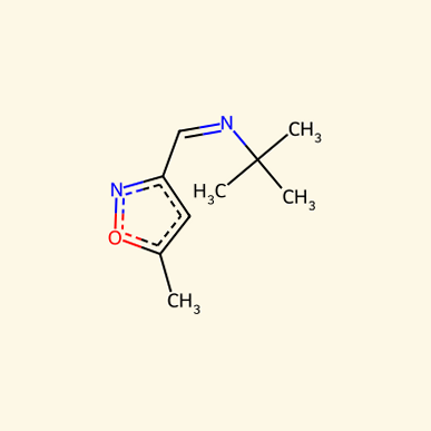 Cc1cc(/C=N\C(C)(C)C)no1